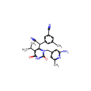 Cc1cc(C#N)cc(C(C#N)c2c(C(C)C)c(=O)[nH]c(=O)n2Cc2cc(C)nc(N)c2)c1